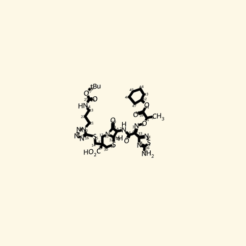 CC(ON=C(C(=O)NC1C(=O)N2CC(CSc3nnnn3CCCNC(=O)OC(C)(C)C)(C(=O)O)CS[C@H]12)c1nsc(N)n1)C(=O)OC1CCCCC1